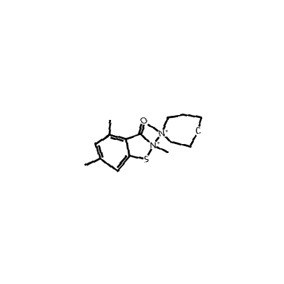 Cc1cc(C)c2c(c1)S[N+](C)([N+]1(C)CCCCCC1)C2=O